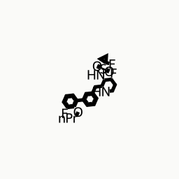 CCCOc1c(F)cccc1-c1cccc(CC2NCCC(F)C2NS(=O)(=O)C2(F)CC2)c1